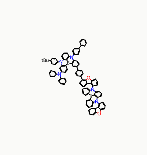 CC(C)(C)c1ccc(N2c3cc(N(c4ccccc4)c4ccccc4)ccc3B3c4cc(-c5ccc(-c6cccc7c6oc6cccc(N8c9ccccc9B9c%10ccccc%10N(c%10cccc%11oc%12ccccc%12c%10%11)c%10cccc8c%109)c67)cc5)ccc4N(c4ccc(-c5ccccc5)cc4)c4cccc2c43)cc1